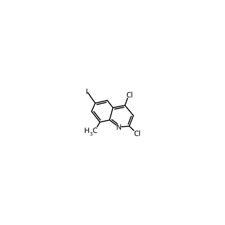 Cc1cc(I)cc2c(Cl)cc(Cl)nc12